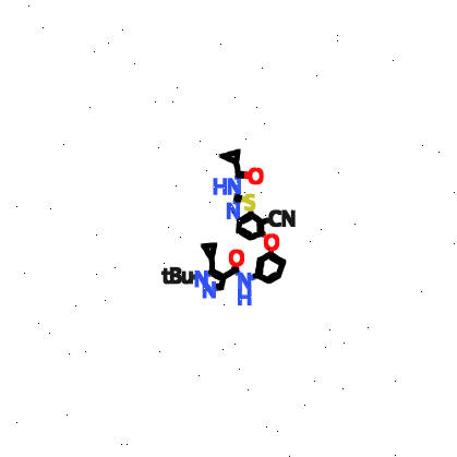 CC(C)(C)n1ncc(C(=O)Nc2cccc(Oc3ccc4nc(NC(=O)C5CC5)sc4c3C#N)c2)c1C1CC1